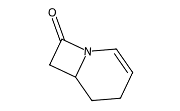 O=C1CC2CCC=CN12